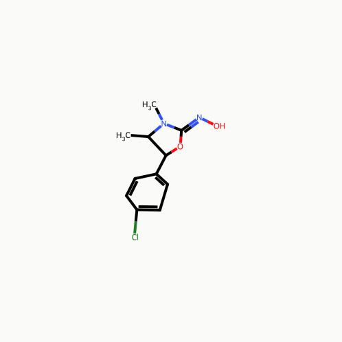 CC1C(c2ccc(Cl)cc2)OC(=NO)N1C